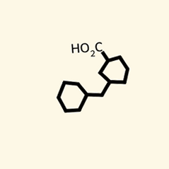 O=C(O)C1CCCC(CC2CCCCC2)C1